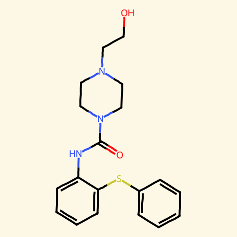 O=C(Nc1ccccc1Sc1ccccc1)N1CCN(CCO)CC1